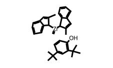 CC(C)(C)c1ccc(O)c(C(C)(C)C)c1.[CH2]=[Zr]([CH]1C(C)=Cc2ccccc21)[CH]1C(C)=Cc2ccccc21